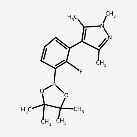 Cc1nn(C)c(C)c1-c1cccc(B2OC(C)(C)C(C)(C)O2)c1F